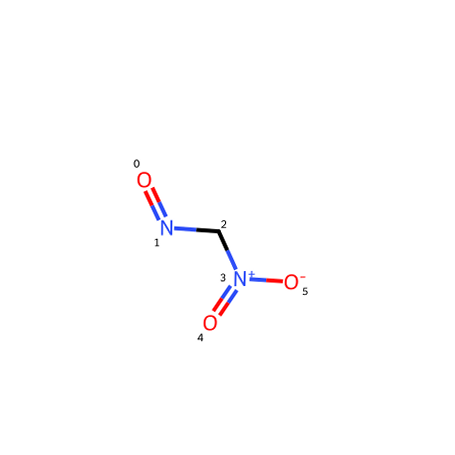 O=NC[N+](=O)[O-]